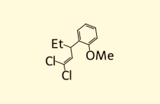 CCC(C=C(Cl)Cl)c1ccccc1OC